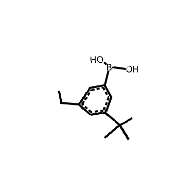 CCc1cc(B(O)O)cc(C(C)(C)C)c1